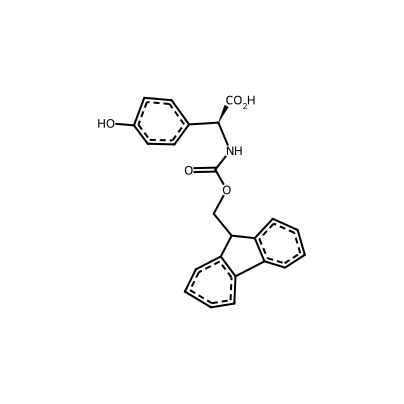 O=C(N[C@H](C(=O)O)c1ccc(O)cc1)OCC1c2ccccc2-c2ccccc21